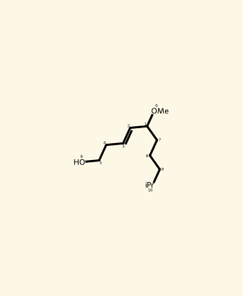 COC(C=CCCO)CCCC(C)C